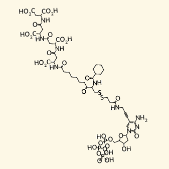 Nc1nc(=O)n(C2CC(O)C(COP(=O)(O)OP(=O)(O)OP(=O)(O)O)O2)cc1C#CCNC(=O)CCSSCC(NC(=O)C1CCCCC1)C(=O)CCCCCCC(=O)NC(CC(=O)NC(CC(=O)NC(CC(=O)NC(CC(=O)O)C(=O)O)C(=O)O)C(=O)O)C(=O)O